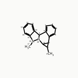 CC1C2c3ccccc3C3c4ccccc4N(C)N3C12